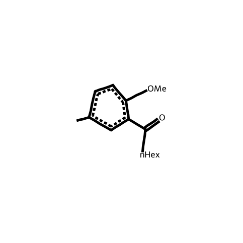 CCCCCCC(=O)c1cc(C)ccc1OC